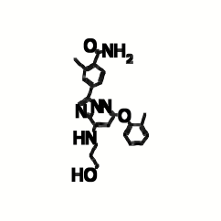 Cc1ccccc1Oc1cc(NCCCO)c2ncc(-c3ccc(C(N)=O)c(C)c3)n2n1